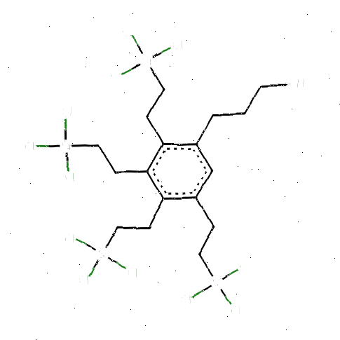 CCCCc1cc(CC[Si](Cl)(Cl)Cl)c(CC[Si](Cl)(Cl)Cl)c(CC[Si](Cl)(Cl)Cl)c1CC[Si](Cl)(Cl)Cl